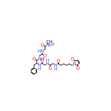 CNC(=O)CNC(=O)CNC(=O)C(Cc1ccccc1)NC(=O)CNC(=O)CNC(=O)CCCCCN1C(=O)C=CC1=O